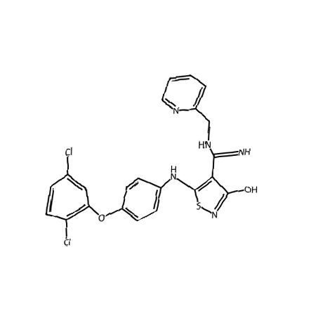 N=C(NCc1ccccn1)c1c(O)nsc1Nc1ccc(Oc2cc(Cl)ccc2Cl)cc1